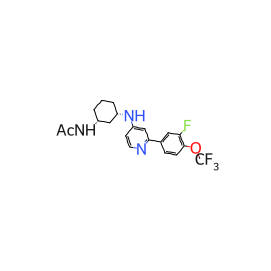 CC(=O)N[C@@H]1CCC[C@H](Nc2ccnc(-c3ccc(OC(F)(F)F)c(F)c3)c2)C1